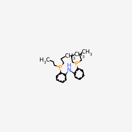 CCCP(CCC)c1ccccc1Nc1ccccc1P(CCC)CCC